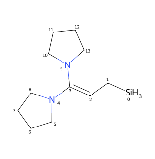 [SiH3]CC=C(N1CCCC1)N1CCCC1